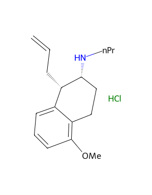 C=CC[C@H]1c2cccc(OC)c2CC[C@H]1NCCC.Cl